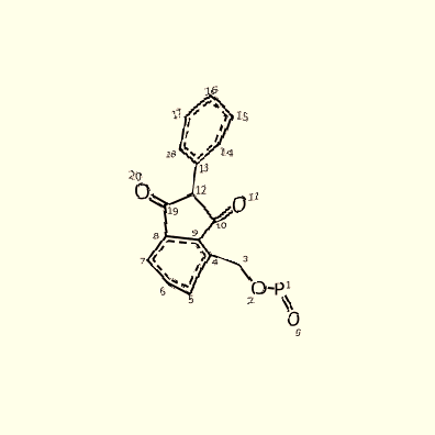 O=POCc1cccc2c1C(=O)C(c1ccccc1)C2=O